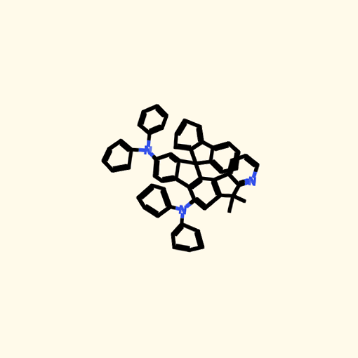 CC1(C)c2cc(N(c3ccccc3)c3ccccc3)c3c(c2-c2cccnc21)C1(c2ccccc2-c2ccccc21)c1cc(N(c2ccccc2)c2ccccc2)ccc1-3